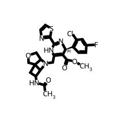 COC(=O)C1=C(CN2C3COCC34CC(NC(C)=O)C24)NC(c2nccs2)=N[C@H]1c1ccc(F)cc1Cl